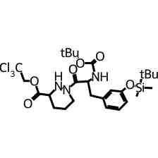 CC(C)(C)OC(=O)NC(Cc1cccc(O[Si](C)(C)C(C)(C)C)c1)C(=O)N1CCCC(C(=O)OCC(Cl)(Cl)Cl)N1